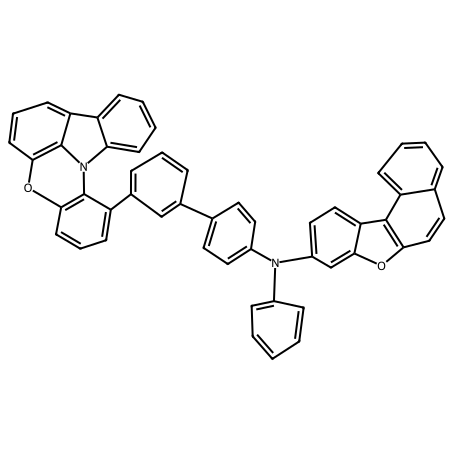 c1ccc(N(c2ccc(-c3cccc(-c4cccc5c4-n4c6ccccc6c6cccc(c64)O5)c3)cc2)c2ccc3c(c2)oc2ccc4ccccc4c23)cc1